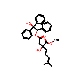 CC(C)=CCCC(O)(CC(=O)O[C@H](c1ccccc1)C(O)(c1ccccc1)c1ccccc1)C(=O)OC(C)(C)C